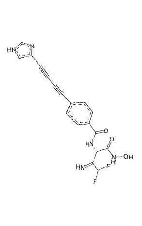 N=C(C(F)F)[C@H](NC(=O)c1ccc(C#CC#Cc2c[nH]cn2)cc1)C(=O)NO